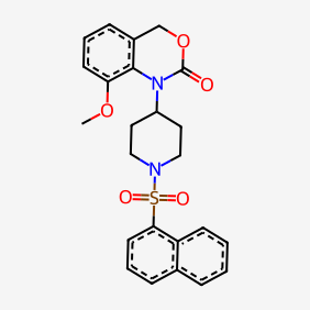 COc1cccc2c1N(C1CCN(S(=O)(=O)c3cccc4ccccc34)CC1)C(=O)OC2